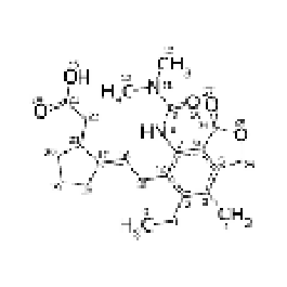 CCc1c(C)c2c(c(NC(=O)N(C)C)c1C/C=C1\CCCC1CC(=O)O)C(=O)OC2